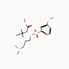 COc1cccc(S(=O)(=O)N(CCCN(C)C)[C@@H](C(=O)NO)C(C)(C)C)c1